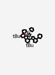 CCCC1=Cc2c(-c3ccccc3)cccc2C1c1cc(C(C)(C)C)cc2c1[CH]([Zr][SiH](c1ccccc1)c1ccccc1)c1ccc(C(C)(C)C)cc1-2